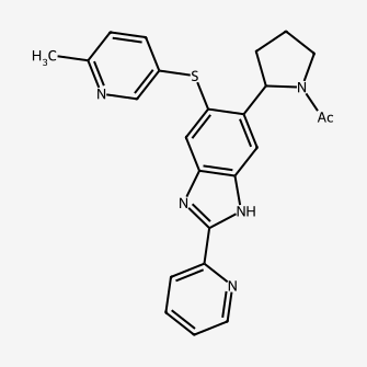 CC(=O)N1CCCC1c1cc2[nH]c(-c3ccccn3)nc2cc1Sc1ccc(C)nc1